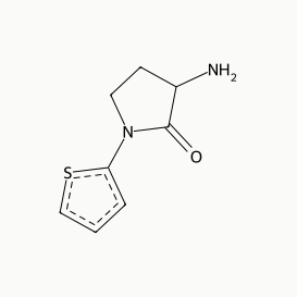 NC1CCN(c2cccs2)C1=O